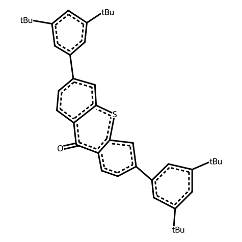 CC(C)(C)c1cc(-c2ccc3c(=O)c4ccc(-c5cc(C(C)(C)C)cc(C(C)(C)C)c5)cc4sc3c2)cc(C(C)(C)C)c1